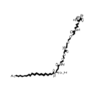 CC(=O)CCCCCCCCCCCCCCCCCCC(=O)N[C@@H](CCC(=O)NCCOCCOCC(=O)NCCOCCOCC(=O)NCCCC[C@H](NC(C)C)C(=O)C(C)C)C(=O)O